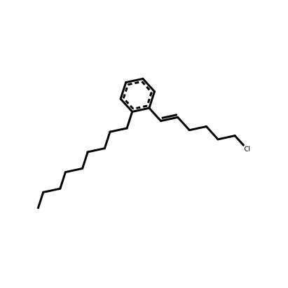 CCCCCCCCCc1ccccc1C=CCCCCCl